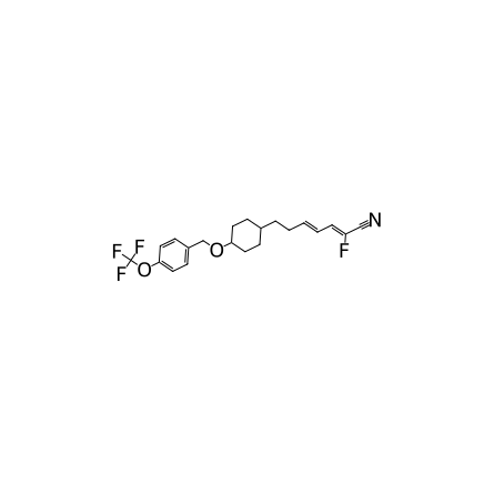 N#CC(F)=CC=CCCC1CCC(OCc2ccc(OC(F)(F)F)cc2)CC1